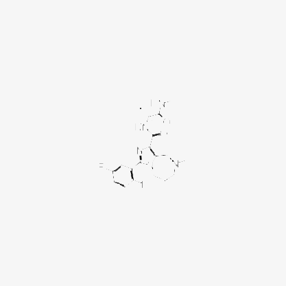 CNC(=O)[C@@H](NC(=O)c1nc(-c2cc(F)ccc2F)n2c1CN(C)CCC2)C(C)(C)C